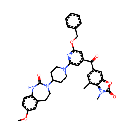 COc1ccc2c(c1)CCN(C1CCN(c3cc(C(=O)c4cc(C)c5c(c4)oc(=O)n5C)cc(OCc4ccccc4)n3)CC1)C(=O)N2